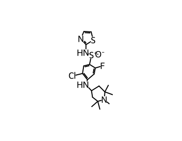 CN1C(C)(C)CC(Nc2cc(F)c([S+]([O-])Nc3nccs3)cc2Cl)CC1(C)C